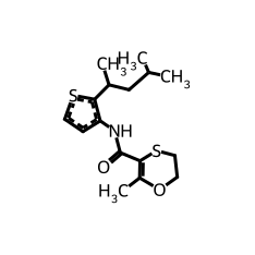 CC1=C(C(=O)Nc2ccsc2C(C)CC(C)C)SCCO1